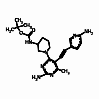 Cc1nc(N)nc(N2CCCC(NC(=O)OC(C)(C)C)C2)c1C#Cc1ccc(N)nc1